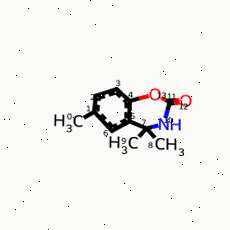 Cc1ccc2c(c1)C(C)(C)NC(=O)O2